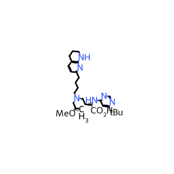 CO[C@H](C)CN(CCCCc1ccc2c(n1)NCCC2)CC[C@H](Nc1cc(C(C)(C)C)ncn1)C(=O)O